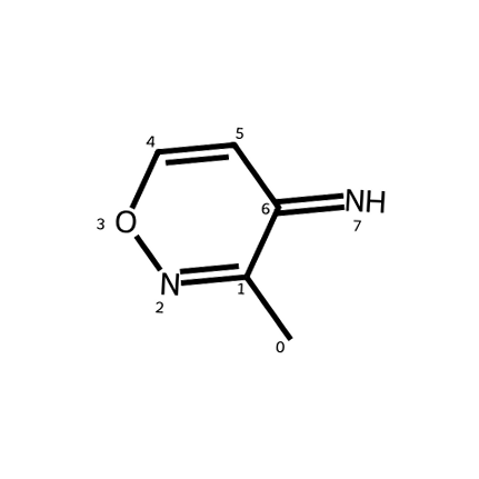 Cc1noccc1=N